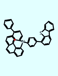 c1ccc(-c2ccc(N(c3ccc(-c4cccc5c4sc4ccccc45)cc3)c3cccc4ccc5ccccc5c34)cc2)cc1